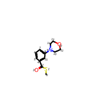 CSC(=O)c1cccc(N2CCOCC2)c1